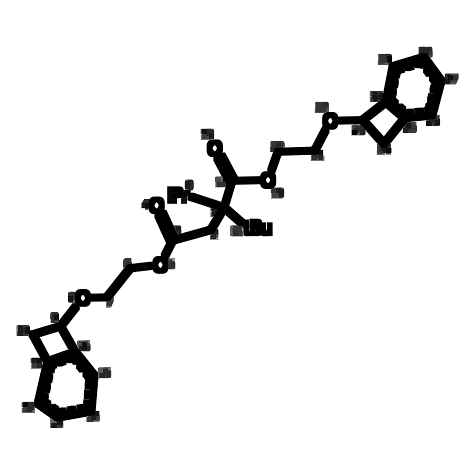 CC(C)C(CC(=O)OCCOC1Cc2ccccc21)(C(=O)OCCOC1Cc2ccccc21)C(C)(C)C